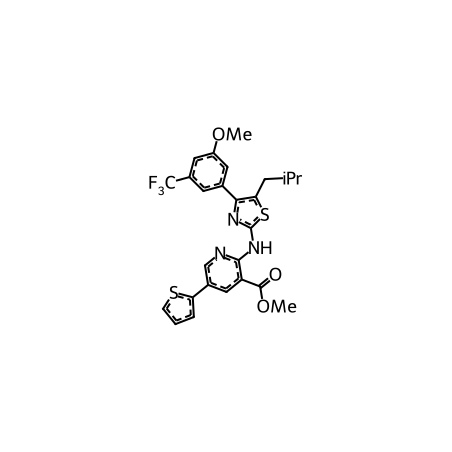 COC(=O)c1cc(-c2cccs2)cnc1Nc1nc(-c2cc(OC)cc(C(F)(F)F)c2)c(CC(C)C)s1